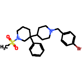 CS(=O)(=O)N1CCCC(c2ccccc2)(C2CCN(Cc3ccc(Br)cc3)CC2)C1